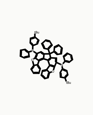 CC(C)(C)c1ccc(N(c2ccccc2)c2cc3c(c4c2oc2ccccc24)-c2c(cc(N(c4ccccc4)c4ccc(C(C)(C)C)cc4)c4oc5ccccc5c24)C3(c2ccccc2)c2ccccc2)cc1